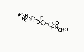 CC(C)c1noc(N2CCC(COc3ccc(C4=CCC(C(=O)NCC=O)CC4)cc3F)CC2)n1